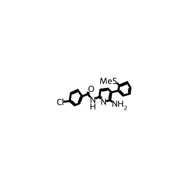 CSc1ccccc1-c1ccc(NC(=O)c2ccc(Cl)cc2)nc1N